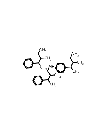 CC([CH2][AlH2])C(C)c1ccccc1.CC([CH2][AlH2])C(C)c1ccccc1.CC([CH2][AlH2])C(C)c1ccccc1